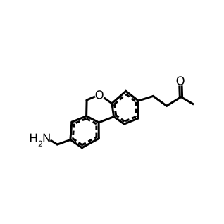 CC(=O)CCc1ccc2c(c1)OCc1cc(CN)ccc1-2